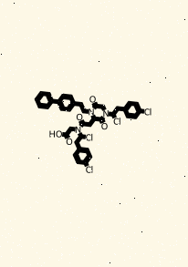 O=C(O)CN(C(=O)CC1C(=O)N(C(Cl)Cc2ccc(Cl)cc2)CC(=O)N1CCc1ccc(-c2ccccc2)cc1)C(Cl)Cc1ccc(Cl)cc1